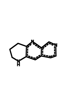 c1cc2cc3c(nc2cn1)CCCN3